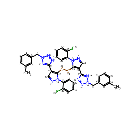 Cc1cccc(Cn2nnc(-c3cnn(-c4ccccc4F)c3SSc3c(-c4nnn(Cc5cccc(C)c5)n4)cnn3-c3ccccc3F)n2)c1